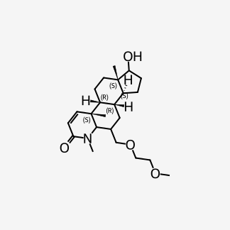 COCCOCC1C[C@@H]2[C@@H](CC[C@]3(C)C(O)CC[C@@H]23)[C@@]2(C)C=CC(=O)N(C)C12